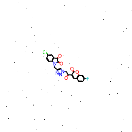 O=C1C(=O)N(Cc2cn(CC(=O)c3cc4ccc(F)cc4oc3=O)nn2)c2ccc(Cl)cc21